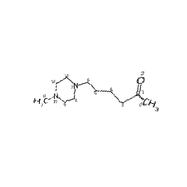 CC(=O)CCCCN1CCN(C)CC1